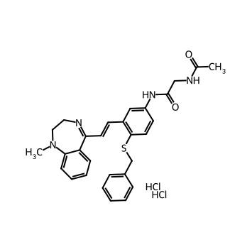 CC(=O)NCC(=O)Nc1ccc(SCc2ccccc2)c(C=CC2=NCCN(C)c3ccccc32)c1.Cl.Cl